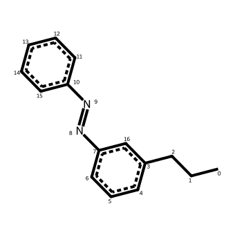 CCCc1cccc(N=Nc2ccccc2)c1